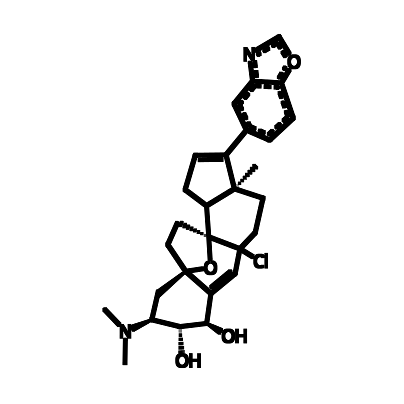 CN(C)[C@H]1C[C@@]23CC[C@]4(O2)C2CC=C(c5ccc6ocnc6c5)[C@@]2(C)CCC4(Cl)C=C3[C@@H](O)[C@@H]1O